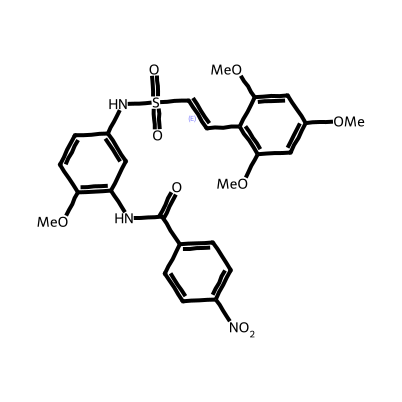 COc1cc(OC)c(/C=C/S(=O)(=O)Nc2ccc(OC)c(NC(=O)c3ccc([N+](=O)[O-])cc3)c2)c(OC)c1